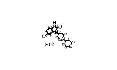 Cl.O=c1[nH]c2ccc(Cl)cc2n1C1CCN(C2CCOCC2)CC1